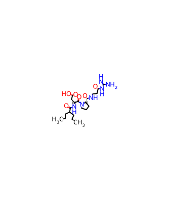 CCCC(CCC)C(=O)N[C@@H](CC(=O)O)C(=O)N1CCC[C@H]1C(=O)NCCC(=O)NC(=N)N